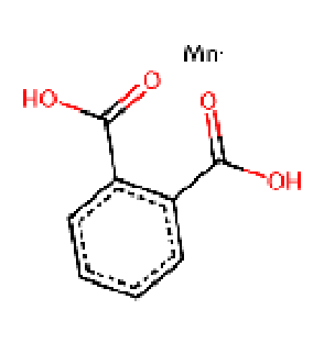 O=C(O)c1ccccc1C(=O)O.[Mn]